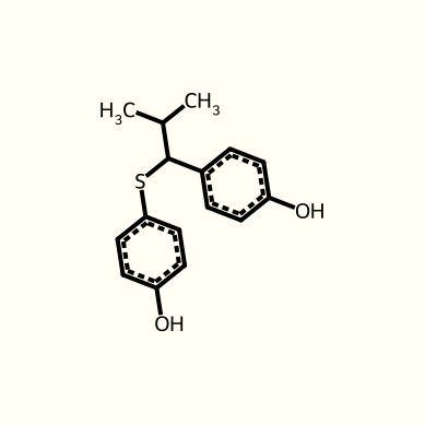 CC(C)C(Sc1ccc(O)cc1)c1ccc(O)cc1